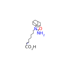 NC(=O)N(CCCCC/C=C/C(=O)O)C12CC3CC(CC(C3)C1)C2